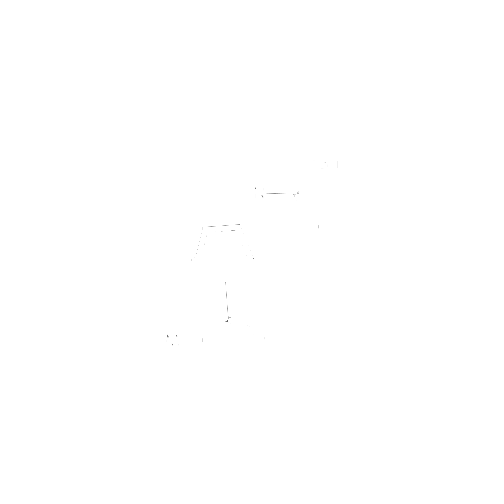 COC(=S)c1cc(NC(=O)C(C)(C)C)c(C)s1